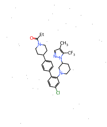 CCC(=O)N1CCC(c2ccc(-c3ccc(Cl)cc3N3CCCC(n4ncc(C)c4C(F)(F)F)C3)cc2)CC1